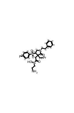 CC(C)CC1(CC(=O)N(O)CCN)C(=O)N(CCc2ccccc2)CC1S(=O)(=O)c1ccc(F)cc1